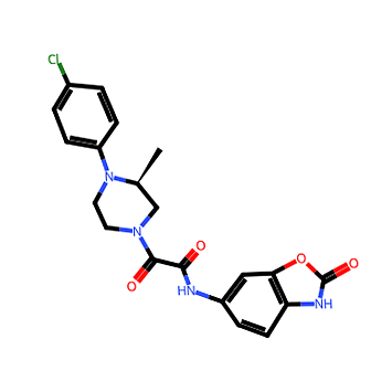 C[C@H]1CN(C(=O)C(=O)Nc2ccc3[nH]c(=O)oc3c2)CCN1c1ccc(Cl)cc1